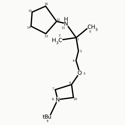 CC(C)(CCOC1CN(C(C)(C)C)C1)NC1CCCC1